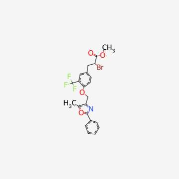 COC(=O)C(Br)Cc1ccc(OCc2nc(-c3ccccc3)oc2C)c(C(F)(F)F)c1